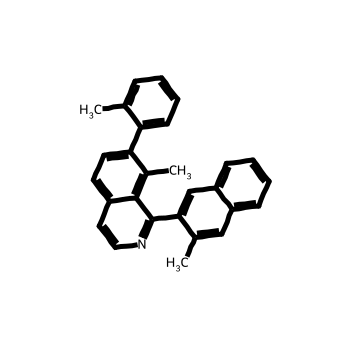 Cc1ccccc1-c1ccc2ccnc(-c3cc4ccccc4cc3C)c2c1C